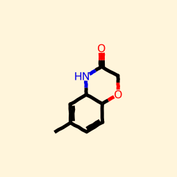 CC1=CC2NC(=O)COC2C=C1